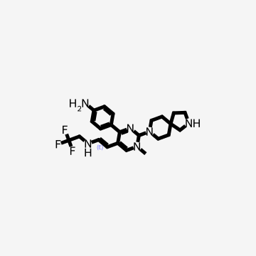 CN1C=C(/C=C/NCC(F)(F)F)C(c2ccc(N)cc2)=NC1N1CCC2(CCNC2)CC1